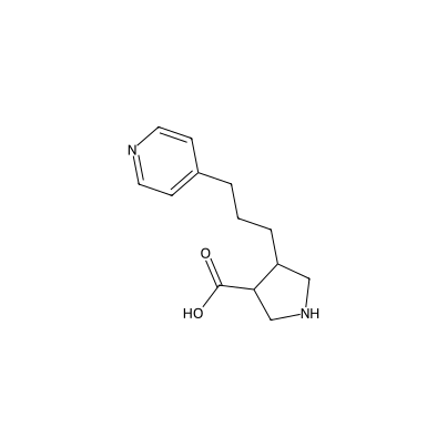 O=C(O)C1CNCC1CCCc1ccncc1